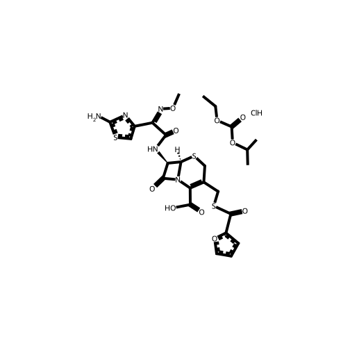 CCOC(=O)OC(C)C.CO/N=C(\C(=O)N[C@@H]1C(=O)N2C(C(=O)O)=C(CSC(=O)c3ccco3)CS[C@H]12)c1csc(N)n1.Cl